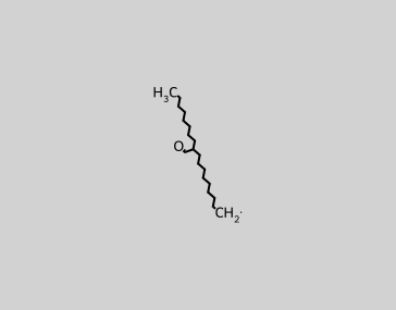 [CH2]CCCCCCCCC(C=O)CCCCCCCC